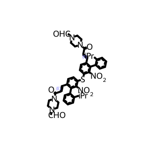 CC(C)c1ccccc1-c1c(/C=C/C(=O)N2CCN(C=O)CC2)ccc(Sc2ccc(/C=C/C(=O)N3CCN(C=O)CC3)c(-c3ccccc3C(C)C)c2[N+](=O)[O-])c1[N+](=O)[O-]